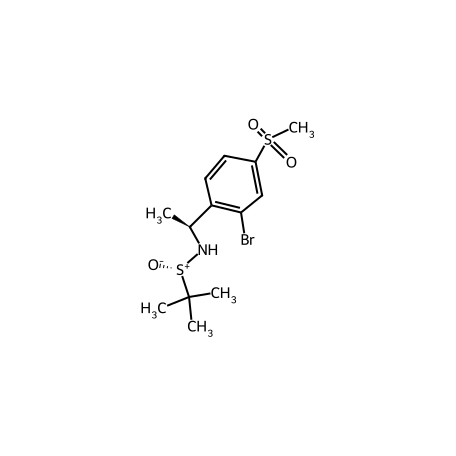 C[C@H](N[S@@+]([O-])C(C)(C)C)c1ccc(S(C)(=O)=O)cc1Br